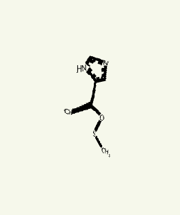 CSOC(=O)c1cnc[nH]1